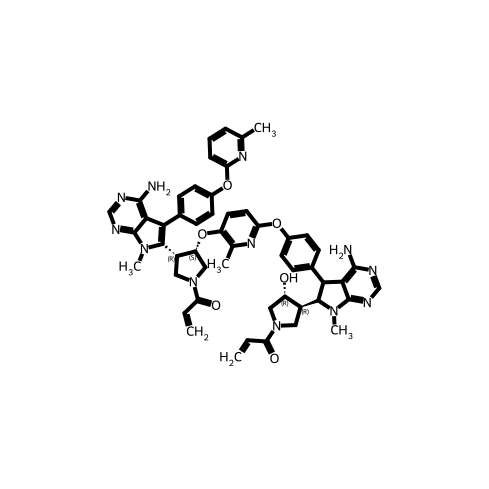 C=CC(=O)N1C[C@H](C2C(c3ccc(Oc4ccc(O[C@@H]5CN(C(=O)C=C)C[C@@H]5c5c(-c6ccc(Oc7cccc(C)n7)cc6)c6c(N)ncnc6n5C)c(C)n4)cc3)c3c(N)ncnc3N2C)[C@@H](O)C1